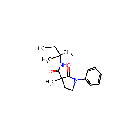 CCC(C)(C)NC(=O)C1(C)CCN(c2ccccc2)C1=O